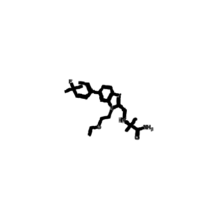 C/C=C(\C=C/C(C)(C)F)c1ccc2nc(CNC(C)(C)C(N)=O)n(CCOCC)c2c1